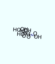 O=C[C@@H](OC(=O)/C=C/C(=O)O)[C@@H](O)[C@H](O)[C@H](O)CO